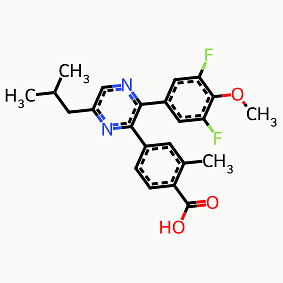 COc1c(F)cc(-c2ncc(CC(C)C)nc2-c2ccc(C(=O)O)c(C)c2)cc1F